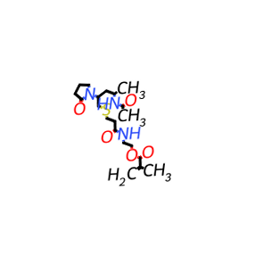 C=C(C)C(=O)OCCNC(=O)CCSCC(CC(C)NC(C)=O)N1CCCC1=O